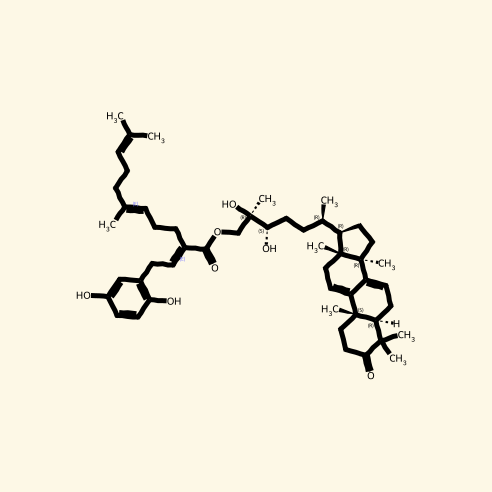 CC(C)=CCC/C(C)=C/CC/C(=C\Cc1cc(O)ccc1O)C(=O)OC[C@@](C)(O)[C@@H](O)CC[C@@H](C)[C@H]1CC[C@@]2(C)C3=CC[C@H]4C(C)(C)C(=O)CC[C@]4(C)C3=CC[C@]12C